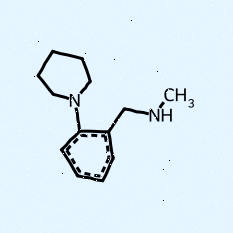 CNCc1ccccc1N1CCCCC1